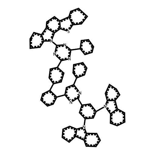 c1ccc(-c2cc(-c3ccccc3-c3ccc(-c4nc(-c5ccccc5)nc(-n5c6ccccc6c6ccc7c8ccccc8sc7c65)n4)cc3)nc(-c3cc(-n4c5ccccc5c5ccccc54)cc(-n4c5ccccc5c5ccccc54)c3)n2)cc1